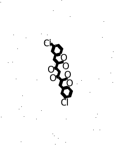 O=C(CC(=O)c1cc2cc(Cl)ccc2oc1=O)c1cc2cc(Cl)ccc2oc1=O